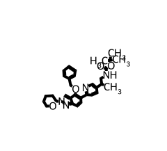 CC(CNC(=O)OC(C)(C)C)c1ccc(-c2ccc3nn(C4CCCCO4)cc3c2OCc2ccccc2)nc1